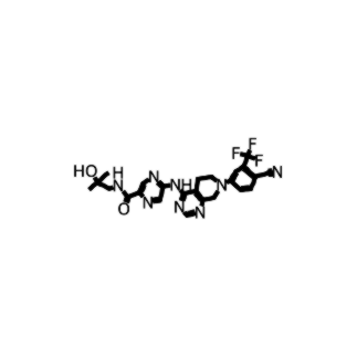 CC(C)(O)CNC(=O)c1cnc(Nc2ncnc3c2CCN(c2ccc(C#N)c(C(F)(F)F)c2)C3)cn1